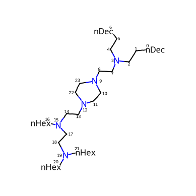 CCCCCCCCCCCCN(CCCCCCCCCCCC)CCN1CCN(CCN(CCCCCC)CCN(CCCCCC)CCCCCC)CC1